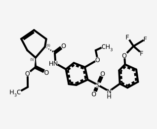 CCOC(=O)[C@H]1CC=CC[C@@H]1C(=O)Nc1ccc(S(=O)(=O)Nc2cccc(OC(F)(F)F)c2)c(OCC)c1